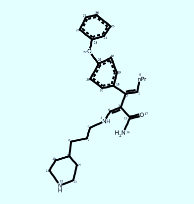 CCC/C=C(/C(=C/NCCCC1CCNCC1)C(N)=O)c1ccc(Oc2ccccc2)cc1